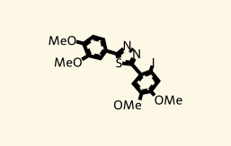 COc1ccc(-c2nnc(-c3cc(OC)c(OC)cc3I)s2)cc1OC